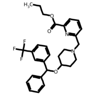 CCCOC(=O)c1cccc(CN2CCC(OC(c3ccccc3)c3cccc(C(F)(F)F)c3)CC2)n1